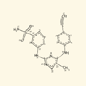 C#Cc1ccc(Nc2nc(Nc3cccc(S(N)(=O)=O)c3)ncc2C)cc1